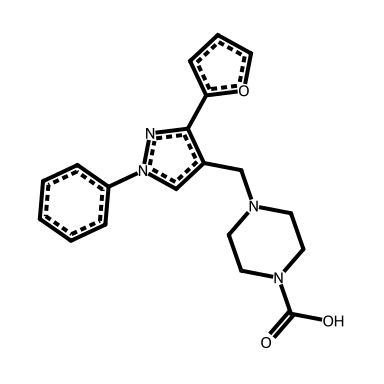 O=C(O)N1CCN(Cc2cn(-c3ccccc3)nc2-c2ccco2)CC1